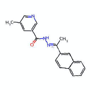 C/C(=N\NC(=O)c1cncc(C)c1)c1ccc2ccccc2c1